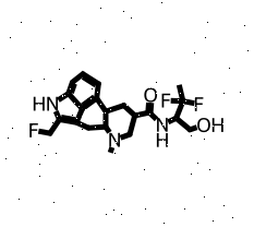 CN1CC(C(=O)NC(CO)C(C)(F)F)CC2c3cccc4[nH]c(CF)c(c34)CC21